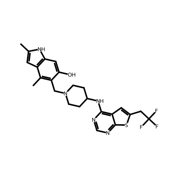 Cc1cc2c(C)c(CN3CCC(Nc4ncnc5sc(CC(F)(F)F)cc45)CC3)c(O)cc2[nH]1